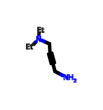 CCN(CC)CC#CCN